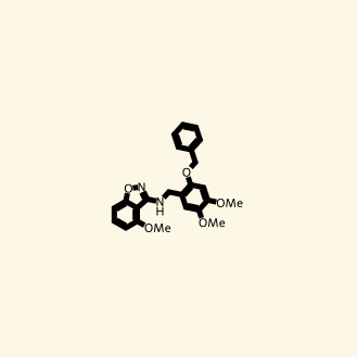 COc1cc(CNc2noc3cccc(OC)c23)c(OCc2ccccc2)cc1OC